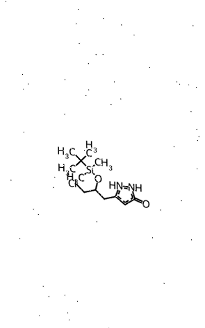 CC(C)(C)[Si](C)(C)OC(CCl)Cc1cc(=O)[nH][nH]1